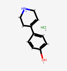 Cl.Oc1ccc(C2=CCNCC2)cc1